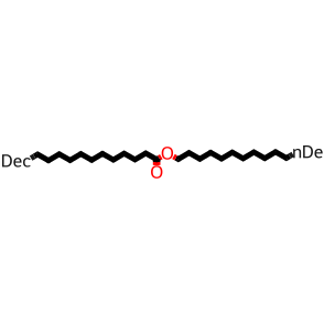 CCCCCCCCCCCCCCCCCCCCCOC(=O)CCCCCCCCCCCCCCCCCCCCC